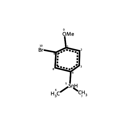 COc1cc[c]([SnH]([CH3])[CH3])cc1Br